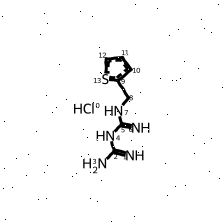 Cl.N=C(N)NC(=N)NCc1cccs1